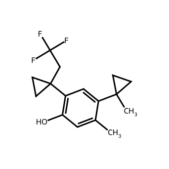 Cc1cc(O)c(C2(CC(F)(F)F)CC2)cc1C1(C)CC1